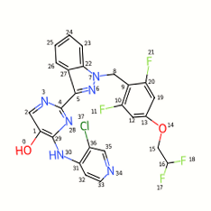 Oc1cnc(-c2nn(Cc3c(F)cc(OCC(F)F)cc3F)c3ccccc23)nc1Nc1ccncc1Cl